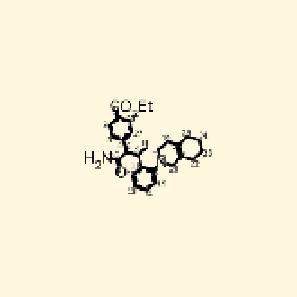 CCOC(=O)c1ccc(C(C(N)=O)C(C)c2ccccc2N2CCC3=C(CCCC3)C2)cc1